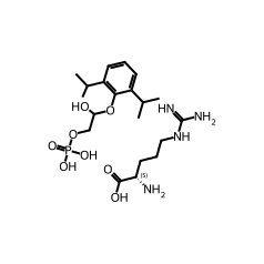 CC(C)c1cccc(C(C)C)c1OC(O)COP(=O)(O)O.N=C(N)NCCC[C@H](N)C(=O)O